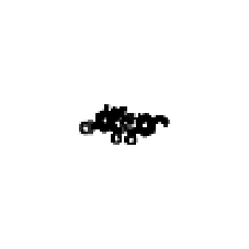 CCc1ccc(C(=O)N(NC(C)(C)C)C(=O)c2cc(C)cc(Cl)c2)cc1